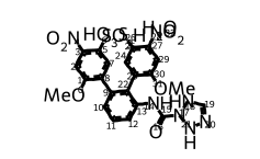 COc1cc([N+](=O)[O-])c(S(=O)(=O)O)cc1-c1cccc(NC(=O)N2NC=NN2)c1-c1cc(S(=O)(=O)O)c([N+](=O)[O-])cc1OC.O